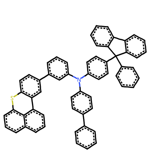 c1ccc(-c2ccc(N(c3ccc(C4(c5ccccc5)c5ccccc5-c5ccccc54)cc3)c3cccc(-c4ccc5c(c4)-c4cccc6cccc(c46)S5)c3)cc2)cc1